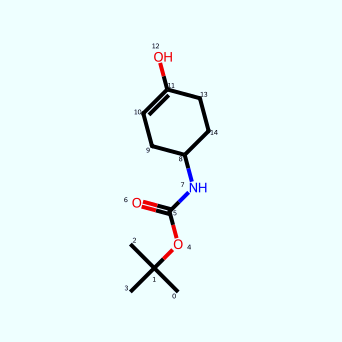 CC(C)(C)OC(=O)NC1CC=C(O)CC1